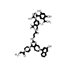 CCC(=O)N1CCN(c2nc(NC=CC(=O)NCc3ccc(-n4c(O)nnc4-c4cc(C(C)C)c(O)cc4O)cc3C(F)(F)F)nc3c2CCN(c2cc(O)cc4ccccc24)C3)CC1